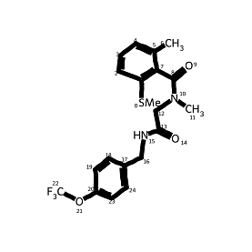 CSc1cccc(C)c1C(=O)N(C)CC(=O)NCc1ccc(OC(F)(F)F)cc1